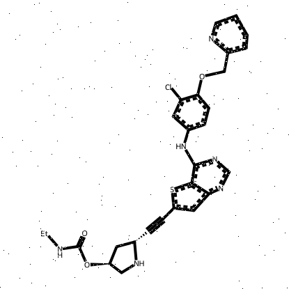 CCNC(=O)O[C@@H]1CN[C@@H](C#Cc2cc3ncnc(Nc4ccc(OCc5ccccn5)c(Cl)c4)c3s2)C1